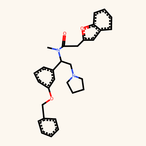 CN(C(=O)Cc1cc2ccccc2o1)C(CN1CCCC1)c1cccc(OCc2ccccc2)c1